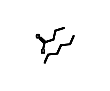 CCCCCC.[Li][C](=O)CCC